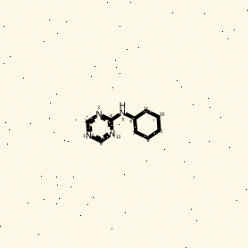 c1ncnc(NC2CCCCC2)n1